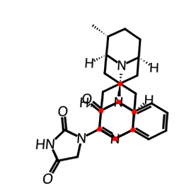 C[C@@H]1CC[C@H]2C[C@@H](n3c(=O)c(N4CC(=O)NC4=O)nc4ccccc43)C[C@@H]1N2[C@H]1C[C@@H]2CCC[C@@H](C2)C1